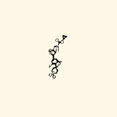 O=C(NC[C@H]1CC(c2cc(F)c(C3(F)CCS(=O)(=O)CC3)c(F)c2)=NO1)OC1CC1